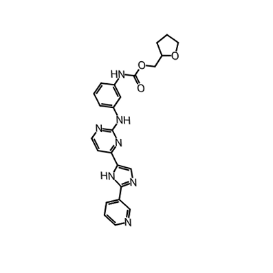 O=C(Nc1cccc(Nc2nccc(-c3cnc(-c4cccnc4)[nH]3)n2)c1)OCC1CCCO1